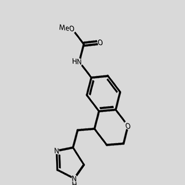 COC(=O)Nc1ccc2c(c1)C(CC1CNC=N1)CCO2